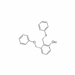 Oc1cccc(COc2ccccc2)c1COc1ccccc1